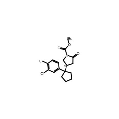 CC(C)(C)OC(=O)N1C[C@H](C2(c3ccc(Cl)c(Cl)c3)CCCC2)CC1=O